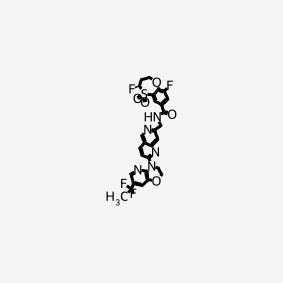 CC(F)(F)c1cnc2c(c1)OCCN2c1ccc2cnc(CNC(=O)c3cc(F)c4c(c3)S(=O)(=O)[C@@H](F)CCO4)cc2n1